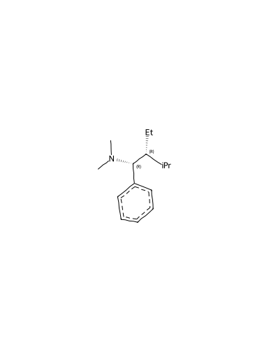 CC[C@H](C(C)C)[C@H](c1ccccc1)N(C)C